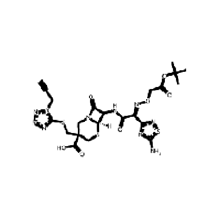 C#CCn1nnnc1SCC1(C(=O)O)CS[C@@H]2C(NC(=O)C(=NOCC(=O)OC(C)(C)C)c3nsc(N)n3)C(=O)N2C1